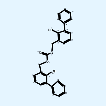 O=C(OCc1cccc(-c2ccccc2)c1O)OCc1cccc(-c2ccccc2)c1O